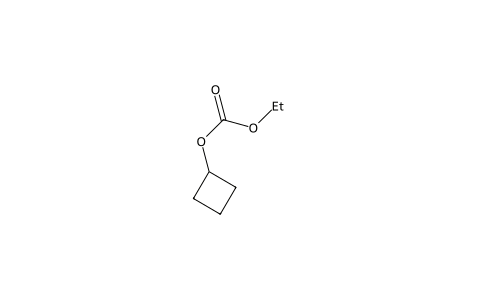 CCOC(=O)OC1CCC1